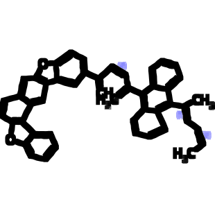 C=C(/C=C\C(=C)c1c2ccccc2c(/C(C)=C/C=C\C)c2ccccc12)c1ccc2oc3cc4ccc5oc6ccccc6c5c4cc3c2c1